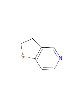 [c]1cc2c(cn1)CCS2